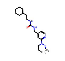 C=NN(/C=C\C)c1cc(CNC(=O)NCCC2=CCCCC2)ccn1